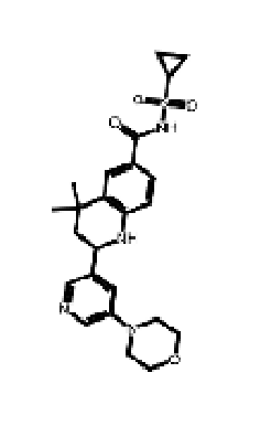 CC1(C)CC(c2cncc(N3CCOCC3)c2)Nc2ccc(C(=O)NS(=O)(=O)C3CC3)cc21